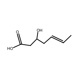 CC=CCC(O)CC(=O)O